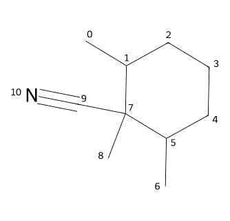 CC1CCCC(C)C1(C)C#N